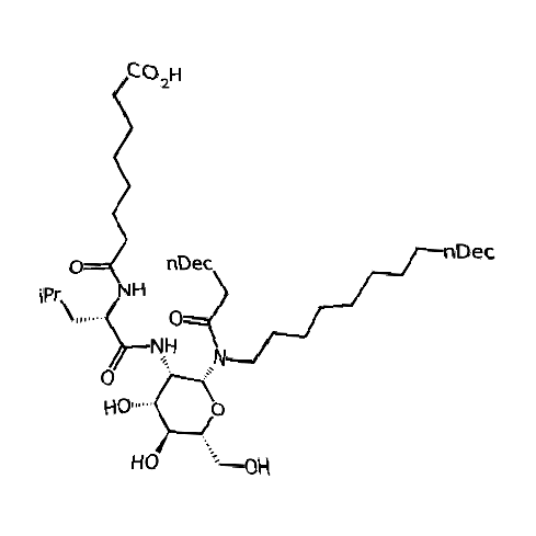 CCCCCCCCCCCCCCCCCCN(C(=O)CCCCCCCCCCC)[C@@H]1O[C@H](CO)[C@@H](O)[C@H](O)[C@@H]1NC(=O)[C@H](CC(C)C)NC(=O)CCCCCCC(=O)O